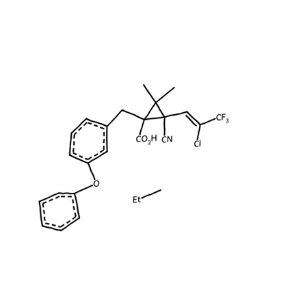 CC1(C)C(C#N)(C=C(Cl)C(F)(F)F)C1(Cc1cccc(Oc2ccccc2)c1)C(=O)O.CCC